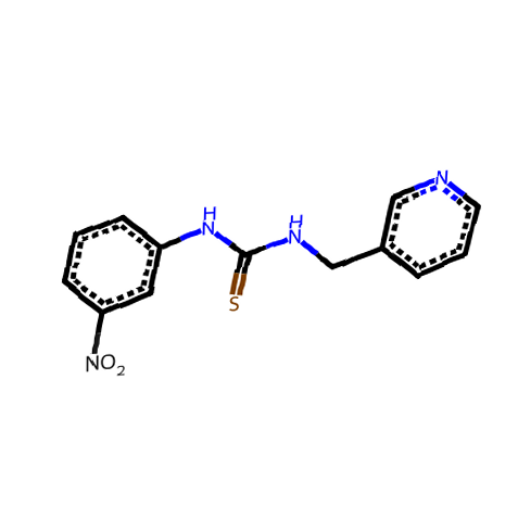 O=[N+]([O-])c1cccc(NC(=S)NCc2cccnc2)c1